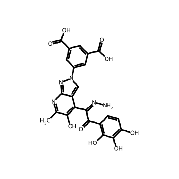 Cc1nc2nn(-c3cc(C(=O)O)cc(C(=O)O)c3)cc2c(C(=NN)C(=O)c2ccc(O)c(O)c2O)c1O